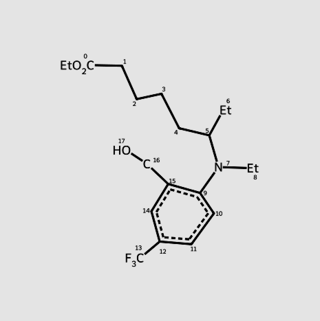 CCOC(=O)CCCCC(CC)N(CC)c1ccc(C(F)(F)F)cc1CO